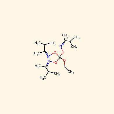 CCO[Si](ON=C(C)C(C)C)(ON=C(C)C(C)C)ON=C(C)C(C)C